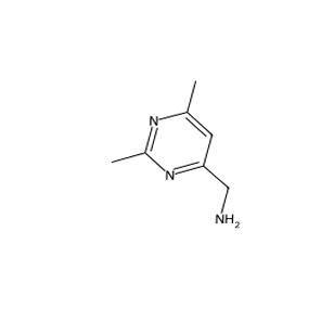 Cc1cc(CN)nc(C)n1